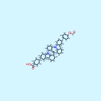 O=COc1ccc(-c2ccc3c(c2)c2cccc4c2n3-c2cccc3c2B4c2cccc4c5cc(-c6ccc(C(=O)O)cc6)ccc5n-3c24)cc1